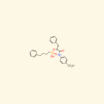 O=C(O)c1ccc(NC(=O)[C@H](Cc2ccccc2)OP(=O)(O)CCCCc2ccccc2)cc1